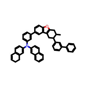 CC1Cc2oc3ccc(-c4cccc(N(c5ccc6c(c5)CCC=C6)c5ccc6ccccc6c5)c4)cc3c2CC1c1cccc(-c2ccccc2)c1